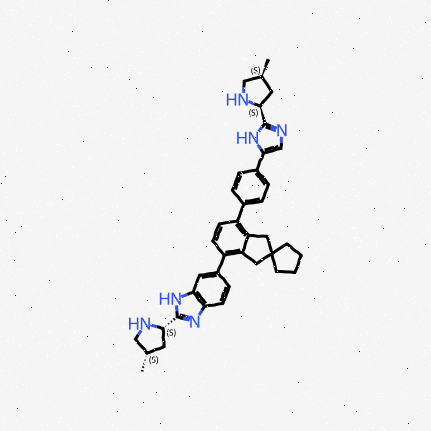 C[C@@H]1CN[C@H](c2ncc(-c3ccc(-c4ccc(-c5ccc6nc([C@@H]7C[C@H](C)CN7)[nH]c6c5)c5c4CC4(CCCC4)C5)cc3)[nH]2)C1